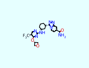 NC(=O)c1ccn2c([C@H]3CCC[C@@H](Nc4ncc(C(F)(F)F)c(OC5COC5)n4)C3)nnc2c1